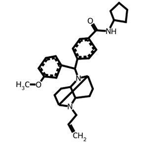 C=CCN1C2CCC3C1CCC2N3C(c1ccc(C(=O)NC2CCCC2)cc1)c1cccc(OC)c1